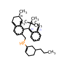 C/C=c1/cccc/c1=C(\c1c(CPC2=CCCC(CCC)C2)ccc2c1=C[C@H](C)CC=2)C(C)(C)C